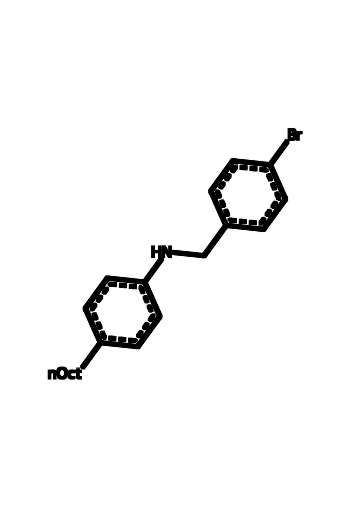 CCCCCCCCc1ccc(NCc2ccc(Br)cc2)cc1